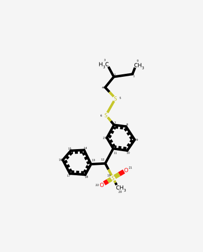 CCC(C)CSSc1cccc(C(c2ccccc2)S(C)(=O)=O)c1